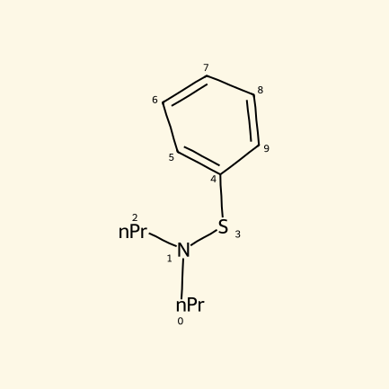 CCCN(CCC)Sc1ccccc1